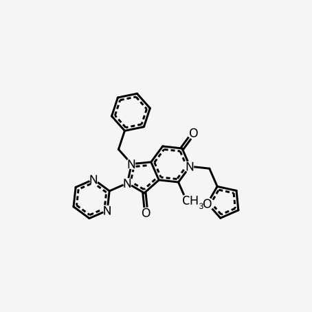 Cc1c2c(=O)n(-c3ncccn3)n(Cc3ccccc3)c2cc(=O)n1Cc1ccco1